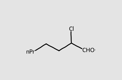 CCCCCC(Cl)[C]=O